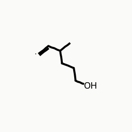 [CH]=CC(C)CCCO